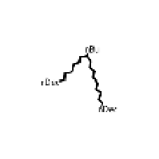 [CH2]CCCC(CCCCCCCCCCCCCCCC)CCCCCCCCCCCCCCCCCCC